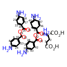 N[C@@H](CCC(=O)O)C(=O)O.Nc1ccc(C(=O)OC(=O)c2ccc(N)cc2)cc1.Nc1ccc(C(=O)OC(=O)c2ccc(N)cc2)cc1